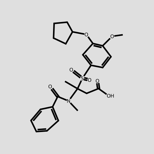 COc1ccc(S(=O)(=O)C(C)(CC(=O)O)N(C)C(=O)c2ccccc2)cc1OC1CCCC1